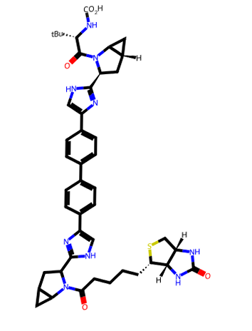 CC(C)(C)[C@H](NC(=O)O)C(=O)N1C2C[C@@H]2C[C@H]1c1nc(-c2ccc(-c3ccc(-c4c[nH]c(C5CC6CC6N5C(=O)CCCC[C@@H]5SC[C@@H]6NC(=O)N[C@@H]65)n4)cc3)cc2)c[nH]1